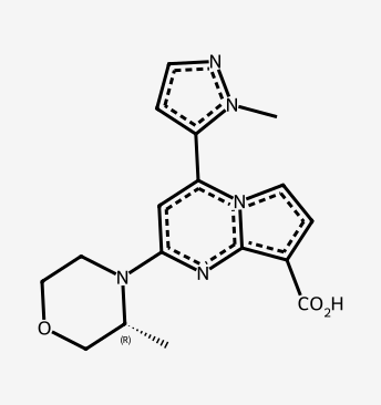 C[C@@H]1COCCN1c1cc(-c2ccnn2C)n2ccc(C(=O)O)c2n1